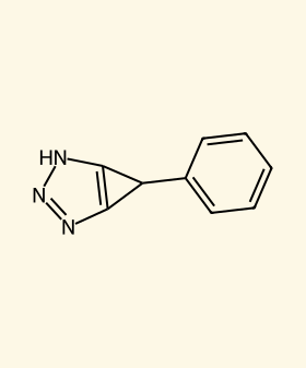 c1ccc(C2c3nn[nH]c32)cc1